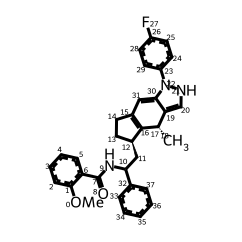 COc1ccccc1C(=O)NC(C[C@H]1CCC2=C1[C@@H](C)C1=CNN(c3ccc(F)cc3)C1=C2)c1ccccc1